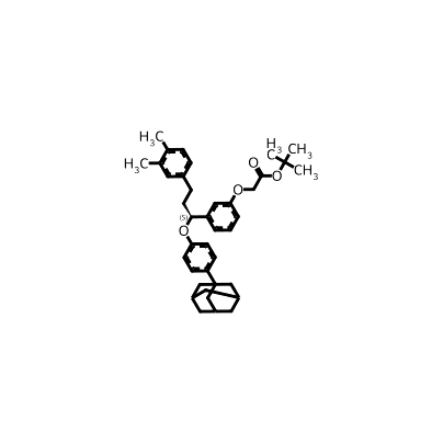 Cc1ccc(CC[C@H](Oc2ccc(C34CC5CC(CC(C5)C3)C4)cc2)c2cccc(OCC(=O)OC(C)(C)C)c2)cc1C